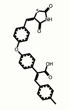 Cc1ccc(C=C(C(=O)O)c2ccc(Oc3ccc(C=C4SC(=O)NC4=O)cc3)cc2)cc1